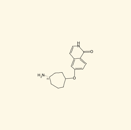 N[C@H]1CCCC(Oc2ccc3c(=O)[nH]ccc3c2)CC1